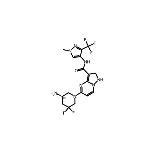 Cn1cc(NC(=O)C2=C3N=C(N4C[C@H](N)CC(F)(F)C4)C=CN3NC2)c(C(F)(F)F)n1